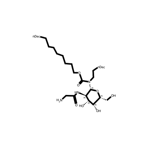 CCCCCCCCCCCCCCCCCCOC(=O)N(CCCCCCCCCCCC)[C@@H]1O[C@H](CO)[C@H](O)[C@H](O)[C@H]1NC(=O)CN